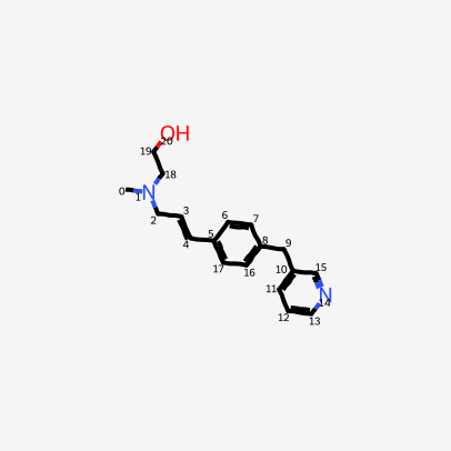 CN(CC=Cc1ccc(Cc2cccnc2)cc1)CCO